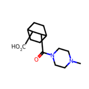 CN1CCN(C(=O)C2C3CCC(CC3)C2C(=O)O)CC1